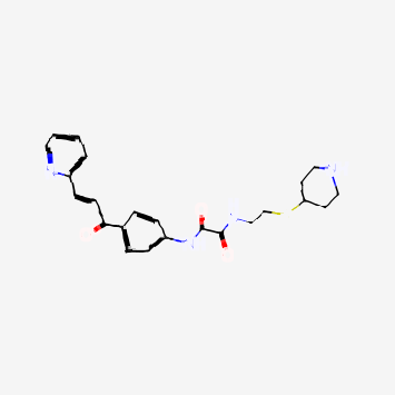 O=C(NCCSC1CCNCC1)C(=O)Nc1ccc(C(=O)C=Cc2ccccn2)cc1